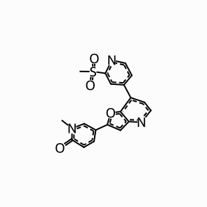 Cn1cc(-c2cc3nccc(-c4ccnc(S(C)(=O)=O)c4)c3o2)ccc1=O